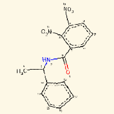 CC(NC(=O)c1cccc([N+](=O)[O-])c1[N+](=O)[O-])c1ccccc1